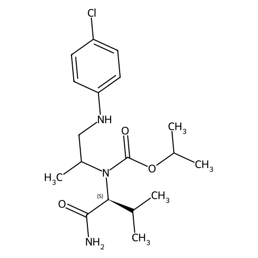 CC(C)OC(=O)N(C(C)CNc1ccc(Cl)cc1)[C@H](C(N)=O)C(C)C